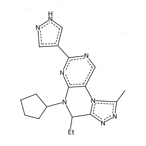 CCC1c2nnc(C)n2-c2cnc(-c3cn[nH]c3)nc2N1C1CCCC1